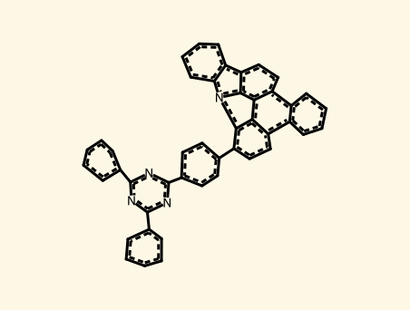 c1ccc(-c2nc(-c3ccccc3)nc(-c3ccc(-c4ccc5c6ccccc6c6ccc7c8ccccc8n8c4c5c6c78)cc3)n2)cc1